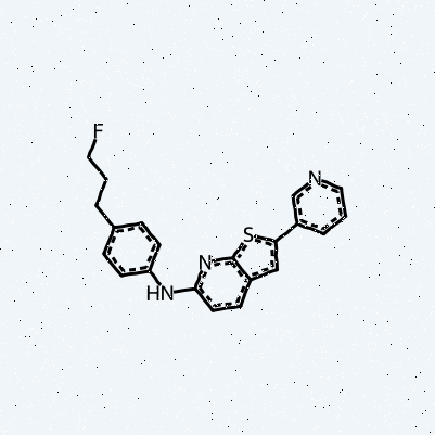 FCCCc1ccc(Nc2ccc3cc(-c4cccnc4)sc3n2)cc1